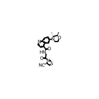 C[C@@H]1[C@@H](C)OCCN1c1ccc2nccc(C(=O)NCC(=O)N3CSC[C@H]3C#N)c2c1